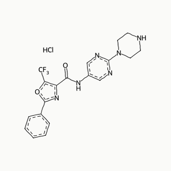 Cl.O=C(Nc1cnc(N2CCNCC2)nc1)c1nc(-c2ccccc2)oc1C(F)(F)F